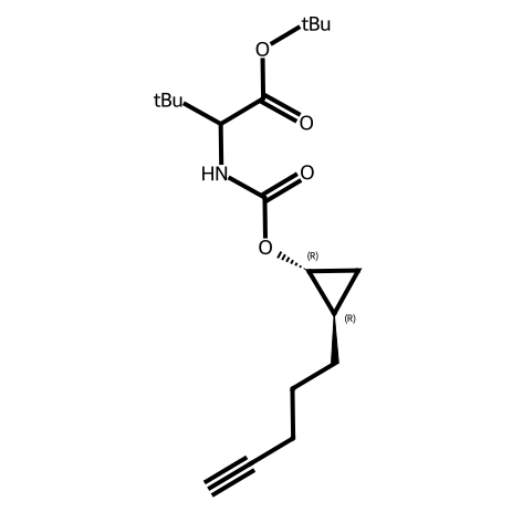 C#CCCC[C@@H]1C[C@H]1OC(=O)NC(C(=O)OC(C)(C)C)C(C)(C)C